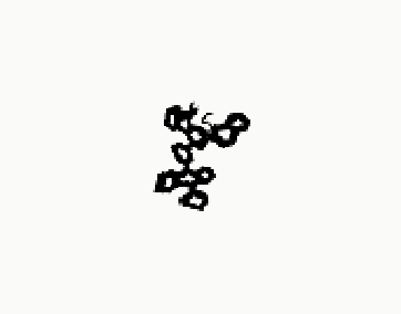 CC1(C)c2ccccc2-c2c(-c3cccc(-c4c5ccccc5c(-c5ccccc5)c5ccccc45)c3)cc3c(sc4c5ccccc5ccc34)c21